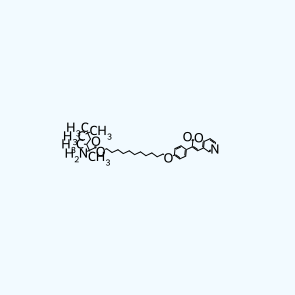 CC(CC(C)(C)C)C(C)(N)C(=O)OCCCCCCCCCCCOc1ccc(-c2cc3cnccc3oc2=O)cc1